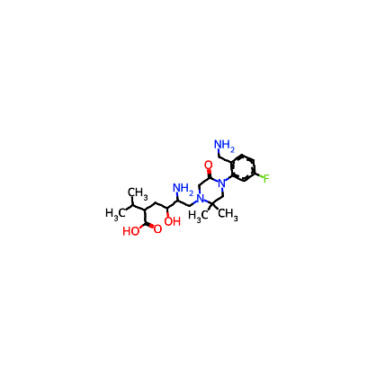 CC(C)C(CC(O)C(N)CN1CC(=O)N(c2cc(F)ccc2CN)CC1(C)C)C(=O)O